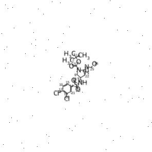 CC(C)(C)OC(=O)N1C[C@H](NS(=O)(=O)c2ccc(Cl)c(Cl)c2)C[C@H]1NC=O